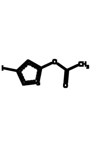 CC(=O)Oc1cc(I)cs1